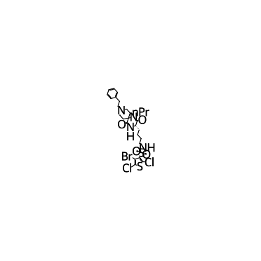 CCCN1C(=O)[C@H](CCCCNS(=O)(=O)c2c(Cl)sc(Cl)c2Br)NC(=O)C12CCN(CCc1ccccc1)CC2